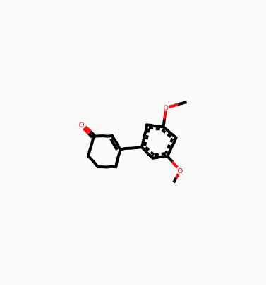 COc1cc(OC)cc(C2=CC(=O)CCC2)c1